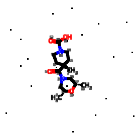 C[C@@H]1CN(C(=O)C2(C)CCN(C(=O)O)CC2)C[C@H](C)O1